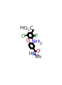 CC(C)(C)NC(=O)c1ccc(Oc2cc(F)c(CC(=O)O)cc2Cl)c(N)c1